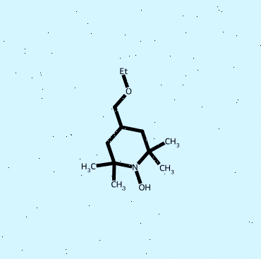 CCOCC1CC(C)(C)N(O)C(C)(C)C1